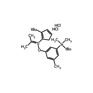 C[C](C)=[Ti]([O]c1cc(C)cc([Si](C)(C)C(C)(C)C)c1)[C]1=C(C(C)(C)C)C=CC1.Cl.Cl